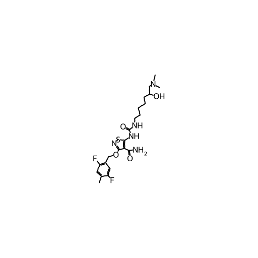 Cc1cc(F)c(COc2nsc(NC(=O)NCCCCCC(O)CN(C)C)c2C(N)=O)cc1F